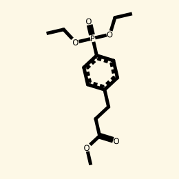 CCOP(=O)(OCC)c1ccc(CCC(=O)OC)cc1